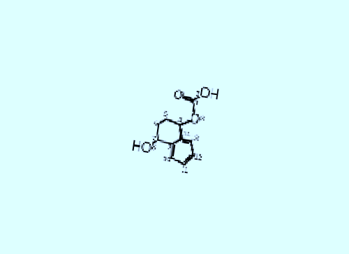 O=C(O)OC1CCC(O)c2ccccc21